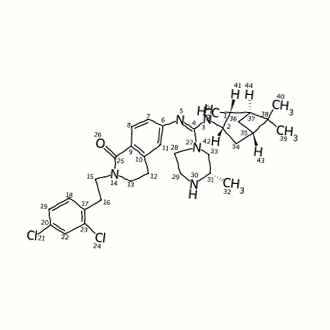 C[C@H]1[C@@H](NC(=Nc2ccc3c(c2)CCN(CCc2ccc(Cl)cc2Cl)C3=O)N2CCN[C@@H](C)C2)C[C@@H]2C[C@@H]1C2(C)C